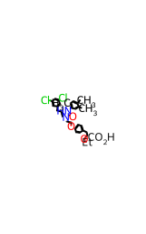 CCOC(Cc1ccc(OCCN(CCCc2cc(Cl)cc(Cl)c2)C(=O)Nc2cc(C)c(C)cc2C)cc1)C(=O)O